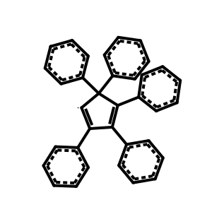 [C]1=C(c2ccccc2)C(c2ccccc2)=C(c2ccccc2)C1(c1ccccc1)c1ccccc1